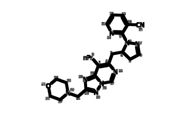 CCCc1c(CC2CC=NN2c2ncccc2C#N)ncn2nc(CN3CCOCC3)nc12